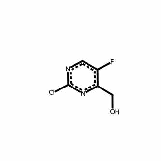 OCc1nc(Cl)ncc1F